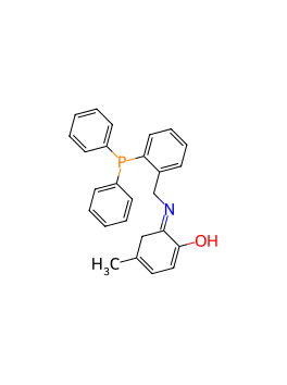 CC1=CC=C(O)C(=NCc2ccccc2P(c2ccccc2)c2ccccc2)C1